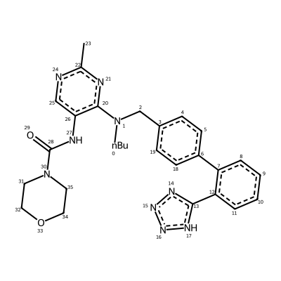 CCCCN(Cc1ccc(-c2ccccc2-c2nnn[nH]2)cc1)c1nc(C)ncc1NC(=O)N1CCOCC1